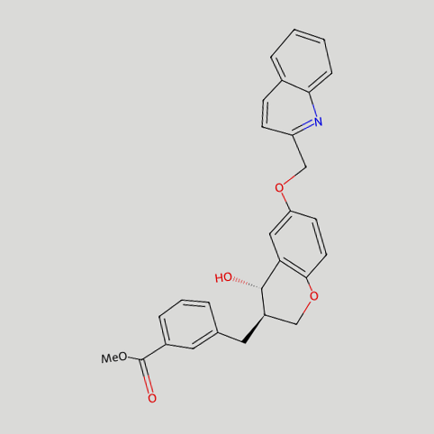 COC(=O)c1cccc(C[C@@H]2COc3ccc(OCc4ccc5ccccc5n4)cc3[C@H]2O)c1